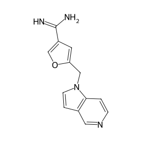 N=C(N)c1coc(Cn2ccc3cnccc32)c1